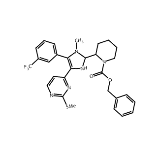 CSc1nccc(C2=C(c3cccc(C(F)(F)F)c3)N(C)C(C3CCCCN3C(=O)OCc3ccccc3)N2)n1